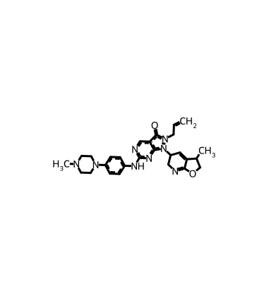 C=CCn1c(=O)c2cnc(Nc3ccc(N4CCN(C)CC4)cc3)nc2n1C1C=C2C(=NC1)OCC2C